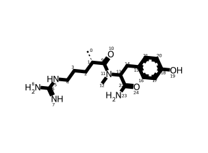 C[C@@H](CCCNC(=N)N)C(=O)N(C)C(Cc1ccc(O)cc1)C(N)=O